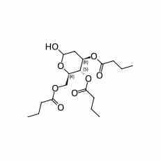 CCCC(=O)OC[C@H]1OC(O)C[C@@H](OC(=O)CCC)[C@@H]1OC(=O)CCC